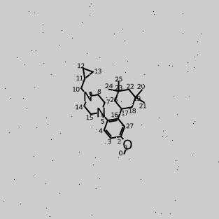 COc1ccc(N2CCN(CC3CC3)CC2)c(C2CC(C)(C)CC(C)(C)C2)c1